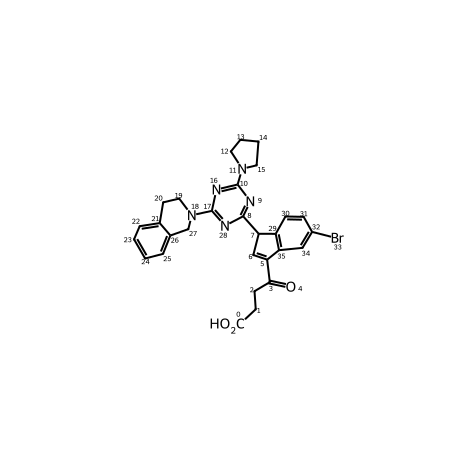 O=C(O)CCC(=O)C1=CC(c2nc(N3CCCC3)nc(N3CCc4ccccc4C3)n2)c2ccc(Br)cc21